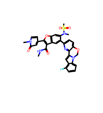 CNC(=O)c1c(-c2ccn(C)c(=O)c2)oc2cc(N(C)S(C)(=O)=O)c(-c3ccc4c(n3)-c3cc5c(F)cccc5n3CO4)cc12